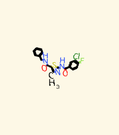 Cc1nc(NC(=O)c2ccc(F)c(Cl)c2)sc1C(=O)NCc1ccccc1